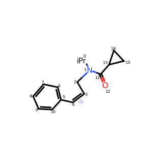 CC(C)N(C/C=C\c1ccccc1)C(=O)C1CC1